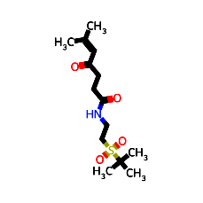 CC(C)=CC(=O)CCC(=O)NCCS(=O)(=O)C(C)(C)C